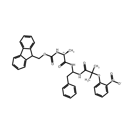 C[C@H](NC(=O)OCC1c2ccccc2-c2ccccc21)C(=O)NC(Cc1ccccc1)NC(=O)C(C)(C)Oc1ccccc1[N+](=O)[O-]